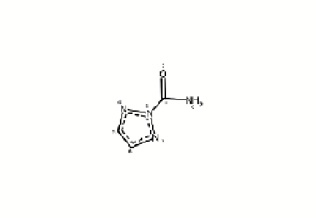 NC(=O)n1nccn1